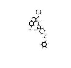 COc1ccc2ncc(CN3CCOCC3)c([C@H](O)CCC3(C(=O)NO)CCN(CCOc4cc(F)c(F)c(F)c4)CC3)c2c1